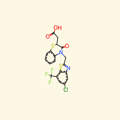 O=C(O)CC1Sc2ccccc2N(Cc2nc3cc(Cl)cc(C(F)(F)F)c3s2)C1=O